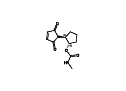 CNC(=O)O[C@H]1CCC[C@@H]1N1C(=O)C=CC1=O